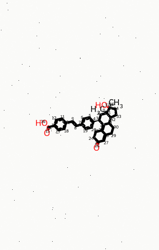 CC12C[C@H](c3ccc(/C=C/c4ccc(C(=O)O)cc4)cc3)C3=C4CCC(=O)C=C4CCC3C1CC[C@]2(C)O